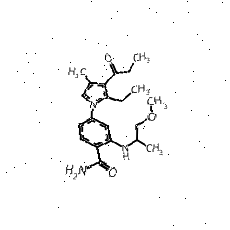 CCC(=O)c1c(C)cn(-c2ccc(C(N)=O)c(NC(C)COC)c2)c1CC